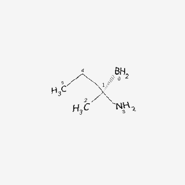 B[C@@](C)(N)CC